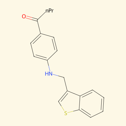 CCCC(=O)c1ccc(NCc2csc3ccccc23)cc1